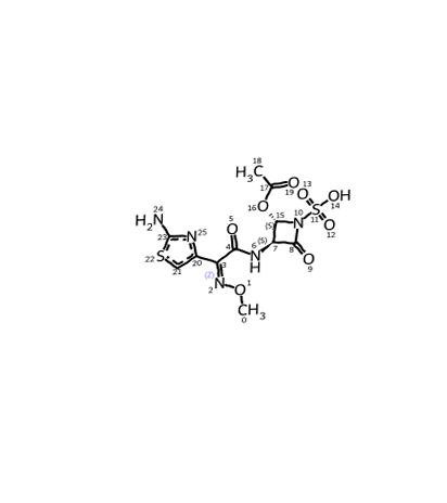 CO/N=C(\C(=O)N[C@@H]1C(=O)N(S(=O)(=O)O)[C@H]1OC(C)=O)c1csc(N)n1